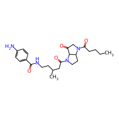 CCCCC(=O)N1CC(=O)C2C1CCN2C(=O)CC(C)CCNC(=O)c1ccc(N)cc1